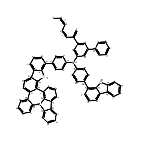 C=C(/C=C\C=C/C)c1cc(-c2ccccc2)cc(N(c2ccc(-c3cccc4c3oc3ccccc34)cc2)c2ccc(-c3cccc4c3oc3c5c(ccc34)-c3ccccc3-n3c4ccccc4c4cccc-5c43)cc2)c1